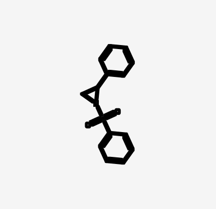 O=S(=O)(c1ccccc1)N1CC1c1ccccc1